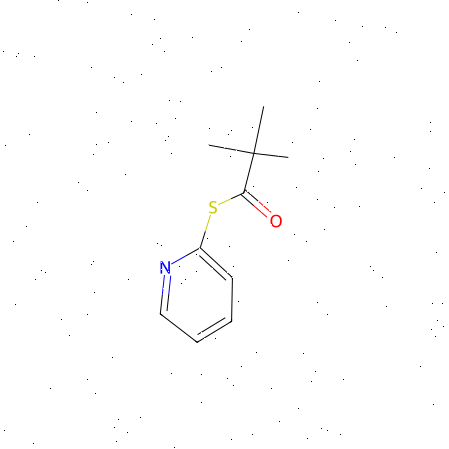 CC(C)(C)C(=O)Sc1ccccn1